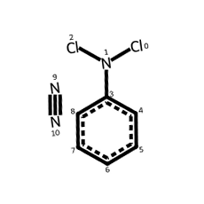 ClN(Cl)c1ccccc1.N#N